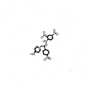 N=c1ccn(C/C(=N\Nc2ccc([N+](=O)[O-])cc2[N+](=O)[O-])c2ccc([N+](=O)[O-])cc2)cc1